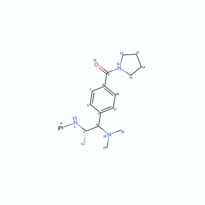 CC(C)N[C@@H](C)C(c1ccc(C(=O)N2CCCC2)cc1)N(C)C